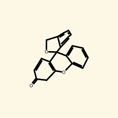 O=C1C=CC2=C(C1)Oc1ccccc1C21OCc2ccccc21